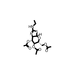 CCNC1=NC2[C@@H](OC(C)=O)[C@H](OC(C)=O)[C@@H](COC(C)=O)O[C@H]2S1